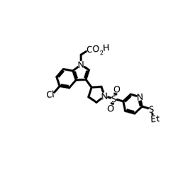 CCSc1ccc(S(=O)(=O)N2CCC(c3cn(CC(=O)O)c4ccc(Cl)cc34)C2)cn1